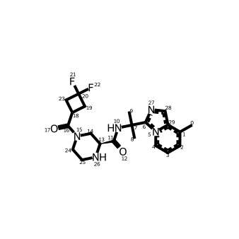 Cc1cccn2c(C(C)(C)NC(=O)[C@@H]3CN(C(=O)C4CC(F)(F)C4)CCN3)ncc12